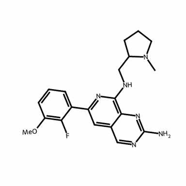 COc1cccc(-c2cc3cnc(N)nc3c(NCC3CCCN3C)n2)c1F